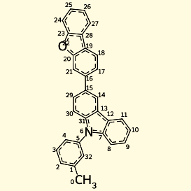 Cc1cccc(-n2c3ccccc3c3cc(-c4ccc5c(c4)oc4ccccc45)ccc32)c1